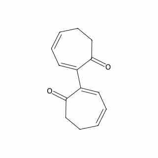 O=C1CCC=CC=C1C1=CC=CCCC1=O